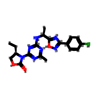 CC[C@H]1COC(=O)N1c1nc(C)nc(N[C@@H](C)c2nc(-c3ccc(Cl)cc3)no2)n1